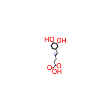 O=C(O)C(=O)CC/C=C/c1ccc(O)c(O)c1